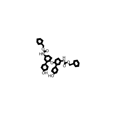 O=C(Nc1ccc(Oc2ccc(NC(=O)OCc3ccccc3)cc2-c2ccc(O)cc2)c(-c2ccc(O)cc2)c1)OCc1ccccc1